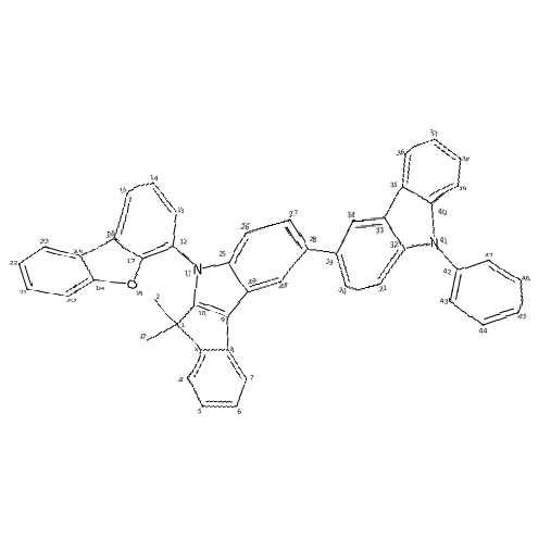 CC1(C)c2ccccc2-c2c1n(-c1cccc3c1oc1ccccc13)c1ccc(-c3ccc4c(c3)c3ccccc3n4-c3ccccc3)cc21